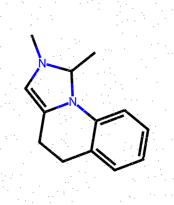 CC1N(C)C=C2CCc3ccccc3N21